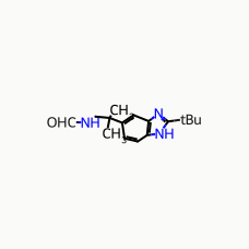 CC(C)(C)c1nc2cc(C(C)(C)CNC=O)ccc2[nH]1